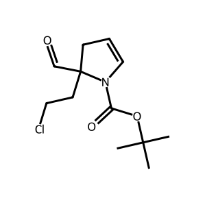 CC(C)(C)OC(=O)N1C=CCC1(C=O)CCCl